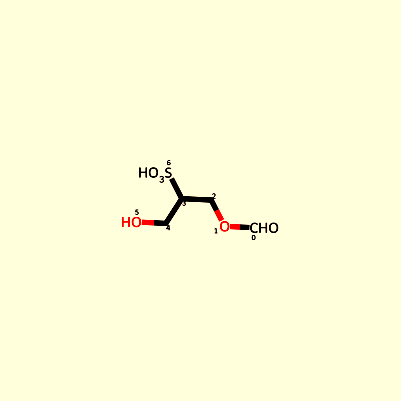 O=COCC(CO)S(=O)(=O)O